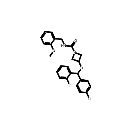 COc1ccccc1CNC(=O)N1CC(OC(c2ccc(Cl)cc2)c2ccccc2Cl)C1